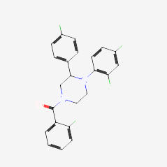 O=C(c1ccccc1Cl)N1CCN(c2ccc(Cl)cc2Cl)C(c2ccc(Cl)cc2)C1